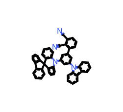 N#Cc1cccc(-c2cc(N3c4ccccc4C4(c5ccccc5-c5ccccc54)c4ccccc43)cc(-n3c4ccccc4c4ccccc43)c2)c1C#N